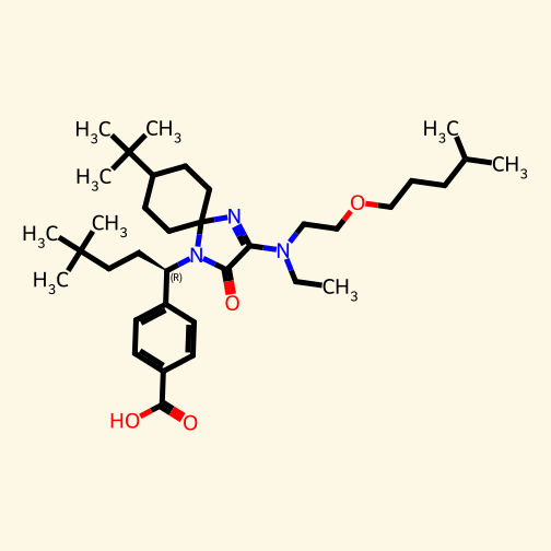 CCN(CCOCCCC(C)C)C1=NC2(CCC(C(C)(C)C)CC2)N([C@H](CCC(C)(C)C)c2ccc(C(=O)O)cc2)C1=O